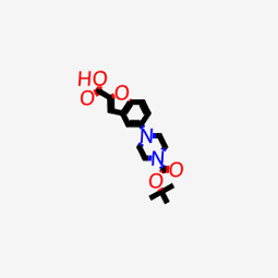 CC(C)(C)OC(=O)N1CCN(c2ccc3oc(C(=O)O)cc3c2)CC1